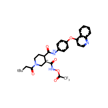 CC(C)(C)CC(=O)N1CCC(C(=O)Nc2ccc(Oc3ccnc4ccccc34)cc2)[C@@H](C(=O)NOC(=O)C(F)(F)F)C1